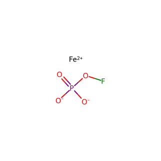 O=P([O-])([O-])OF.[Fe+2]